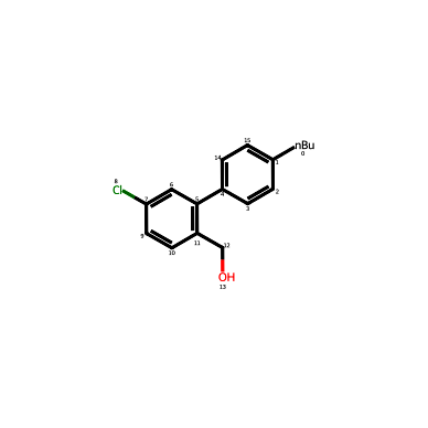 CCCCc1ccc(-c2cc(Cl)ccc2CO)cc1